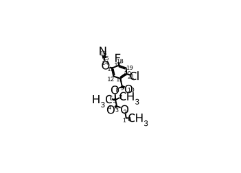 CCOC(=O)C(C)(C)OC(=O)c1cc(OC#N)c(F)cc1Cl